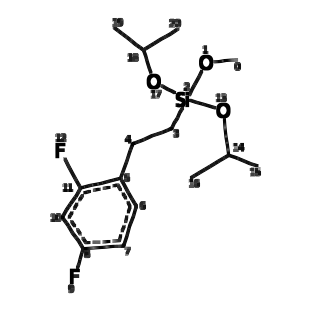 CO[Si](CCc1ccc(F)cc1F)(OC(C)C)OC(C)C